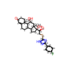 CC12CCC(=O)C=C1CCC1C2[C@@H](O)CC2(C)C1CC[C@]2(O)C(=O)CSc1nc(-c2ccc(F)cc2)n[nH]1